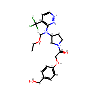 CCOCN(c1nnccc1C(F)(F)F)C1CCN(C(=O)COc2ccc(CO)cc2)C1